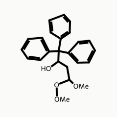 COOC(CC(O)C(c1ccccc1)(c1ccccc1)c1ccccc1)OC